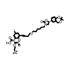 CC1(C)OCc2cc([C@@H]3CN(CCCCCCOCCC#Cc4cc(I)cc(N(C(=O)O)C(OCC[Si](C)(C)C)=S(=O)=O)c4)C(=O)O3)ccc2O1